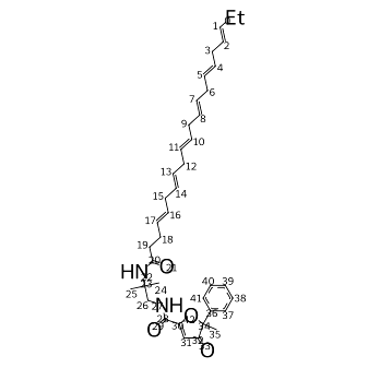 CCC=CCC=CCC=CCC=CCC=CCC=CCCC(=O)NC(C)(C)CNC(=O)C1=CC(=O)C(C)(c2ccccc2)O1